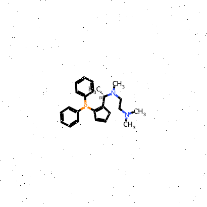 C[C@@H](C1=C(P(c2ccccc2)c2ccccc2)C=CC1)N(C)CCN(C)C